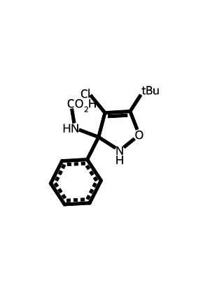 CC(C)(C)C1=C(Cl)C(NC(=O)O)(c2ccccc2)NO1